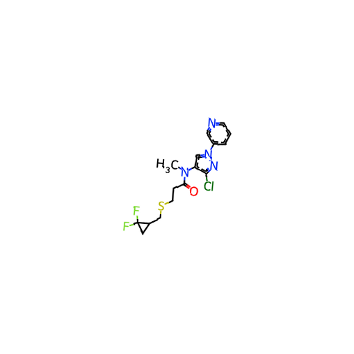 CN(C(=O)CCSCC1CC1(F)F)c1cn(-c2cccnc2)nc1Cl